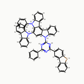 c1ccc(-c2nc(-c3ccc4sc5ccccc5c4c3)nc(-n3c4ccccc4c4c5c6ccccc6n(-c6ccccc6)c5c(-n5c6ccccc6c6ccccc65)cc43)n2)cc1